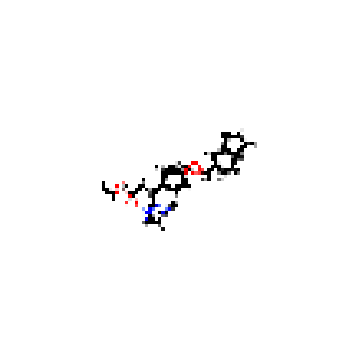 CCOC(=O)C[C@@H](c1ccc(OCc2ccc3c(c2)CCC3)cc1)c1nccn1C